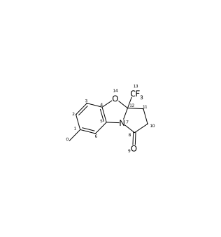 Cc1ccc2c(c1)N1C(=O)CCC1(C(F)(F)F)O2